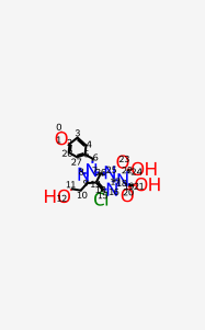 COc1ccc(Cn2nc(CCO)c3c(Cl)nc(N(C(=O)O)C(=O)O)nc32)cc1